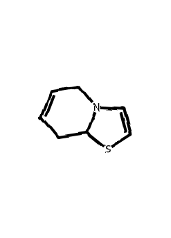 C1=CCN2C=CSC2C1